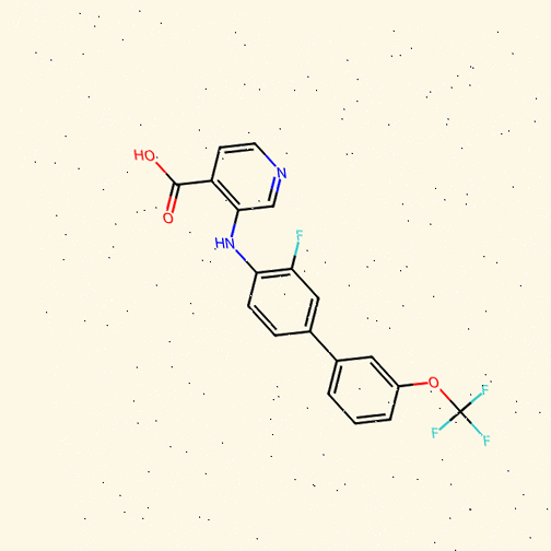 O=C(O)c1ccncc1Nc1ccc(-c2cccc(OC(F)(F)F)c2)cc1F